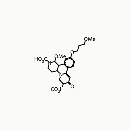 COCCCOc1ccc2c(c1)C1C(CCN(C(=O)O)C1OC)N1CC(C(=O)O)C(=O)C=C21